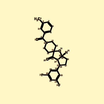 Cc1cccc(C(=O)N2CCC3(CC2)O[C@@H]2CC[C@@H](c4cc(F)cc(F)c4)N2C3=O)c1